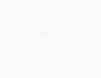 CCc1cc(=O)c2ccc(C)cc2[nH]1